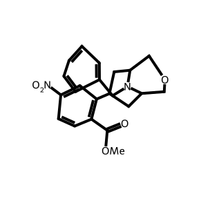 COC(=O)c1ccc([N+](=O)[O-])cc1C1CC2COCC(C1)N2Cc1ccccc1